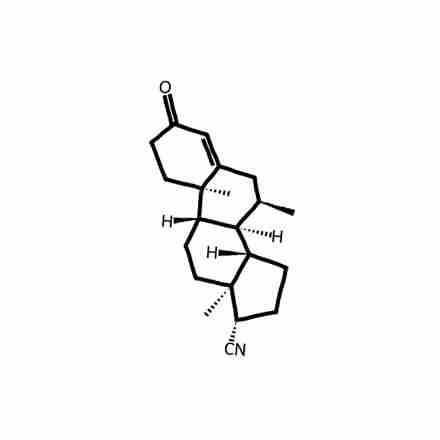 C[C@@H]1CC2=CC(=O)CC[C@]2(C)[C@H]2CC[C@]3(C)[C@@H](C#N)CC[C@H]3[C@H]12